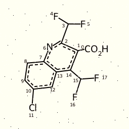 O=C(O)c1c(C(F)F)nc2ccc(Cl)cc2c1C(F)F